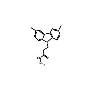 Cc1ccc2c(c1)c1cc(Cl)ccc1n2CCC(=O)NN